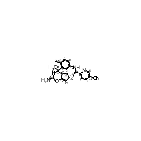 C[C@]1(c2cc(NC(=O)c3ccc(C#N)cn3)ccc2F)N=C(N)OC2=CCCC21